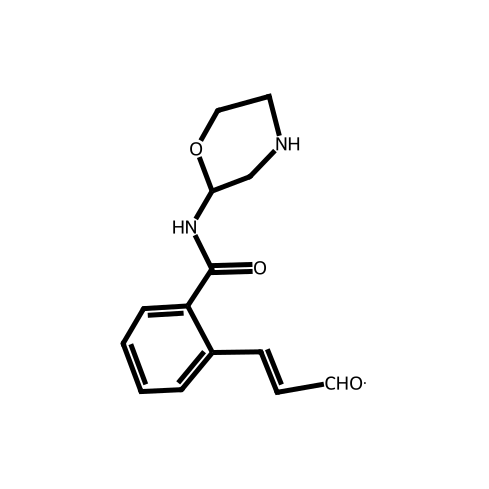 O=[C]/C=C/c1ccccc1C(=O)NC1CNCCO1